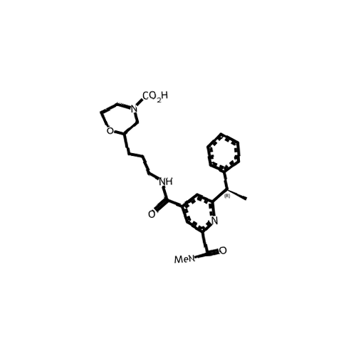 CNC(=O)c1cc(C(=O)NCCCC2CN(C(=O)O)CCO2)cc([C@H](C)c2ccccc2)n1